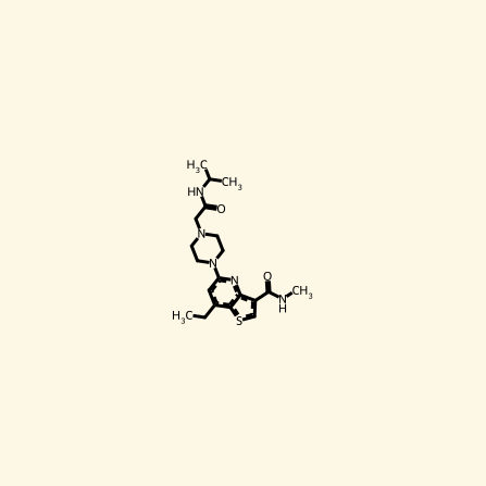 CCc1cc(N2CCN(CC(=O)NC(C)C)CC2)nc2c(C(=O)NC)csc12